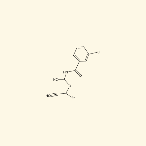 C#CC(CC)OC(C#N)NC(=O)c1cccc(Cl)c1